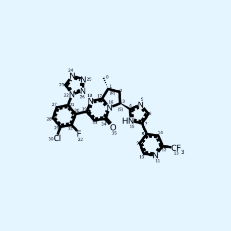 C[C@@H]1C[C@@H](c2ncc(-c3ccnc(C(F)(F)F)c3)[nH]2)n2c1nc(-c1c(-n3cnnn3)ccc(Cl)c1F)cc2=O